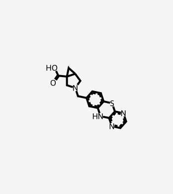 O=C(O)C12[CH]C1CN(Cc1ccc3c(c1)Nc1nccnc1S3)C2